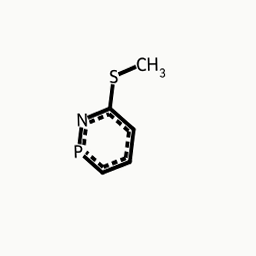 CSc1cccpn1